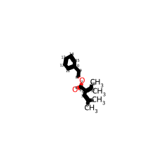 CC(C)=CC(C(=O)OCCc1ccccc1)=C(C)C